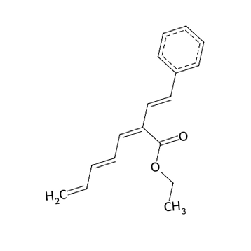 C=CC=CC=C(C=Cc1ccccc1)C(=O)OCC